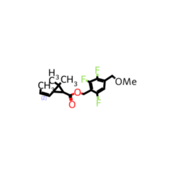 C/C=C\C1C(C(=O)OCc2c(F)cc(COC)c(F)c2F)C1(C)C